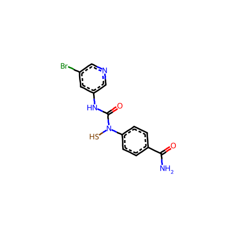 NC(=O)c1ccc(N(S)C(=O)Nc2cncc(Br)c2)cc1